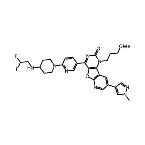 COCCCn1c(=O)nc(-c2ccc(N3CCC(NCC(F)F)CC3)nc2)c2oc3ncc(-c4cnn(C)c4)cc3c21